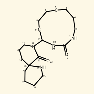 O=C1NCCCCCCCC(N2CCCC3(CCCCN3)C2=O)N1